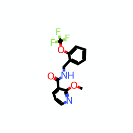 COc1ncccc1C(=O)NCc1ccccc1OC(F)(F)F